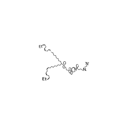 CC/C=C\C/C=C\C/C=C\CCCCCCCCC(CCCCCCC/C=C\C/C=C\C/C=C\CC)C(=O)OCCC1COC2(CCN(C(=O)CCCN(C)CCN(C)C)CC2)O1